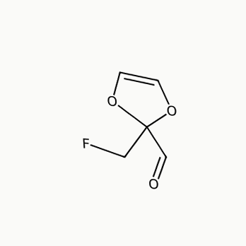 O=CC1(CF)OC=CO1